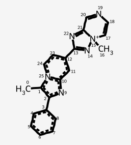 Cc1c(-c2ccccc2)nc2cc(C3=N[N+]4(C)C=CN=CC4=N3)ccn12